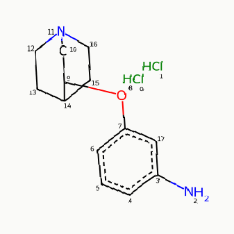 Cl.Cl.Nc1cccc(OC2CN3CCC2CC3)c1